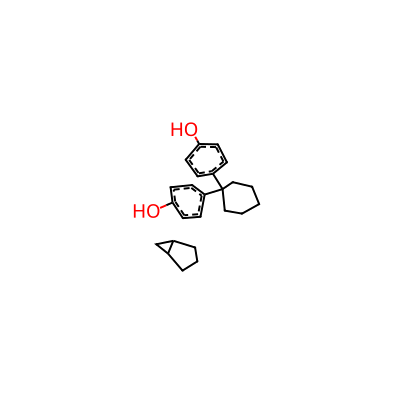 C1CC2CC2C1.Oc1ccc(C2(c3ccc(O)cc3)CCCCC2)cc1